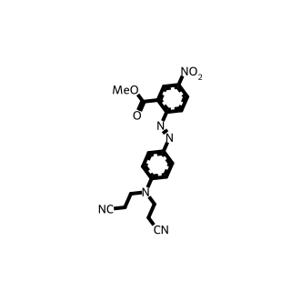 COC(=O)c1cc([N+](=O)[O-])ccc1N=Nc1ccc(N(CCC#N)CCC#N)cc1